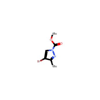 CC(C)(C)OC(=O)n1cc(Br)c(C(C)(C)C)n1